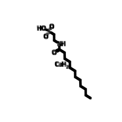 CCCCCCCCCCCC(=O)NCCS(=O)(=O)O.[CaH2]